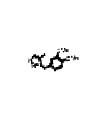 [CH2]c1cnnn1Cc1ccc(OC)c(OC)c1